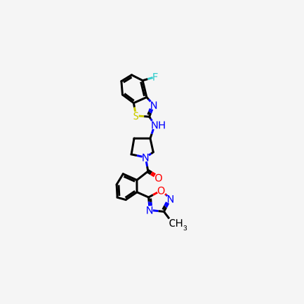 Cc1noc(-c2ccccc2C(=O)N2CCC(Nc3nc4c(F)cccc4s3)C2)n1